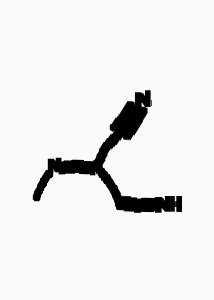 C/N=C(/C#N)C=N